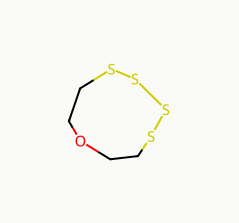 C1CSSSSCCO1